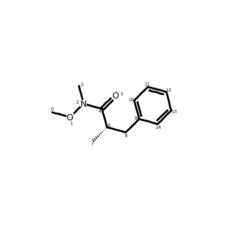 CON(C)C(=O)[C@@H](C)Cc1ccccc1